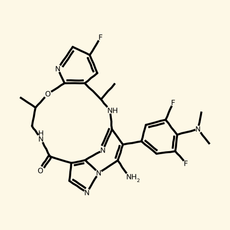 CC1CNC(=O)c2cnn3c(N)c(-c4cc(F)c(N(C)C)c(F)c4)c(nc23)NC(C)c2cc(F)cnc2O1